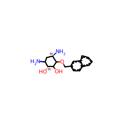 NC1C[C@@H](N)C(OCc2ccc3ccccc3c2)C(O)[C@@H]1O